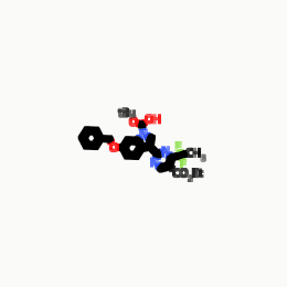 CCOC(=O)c1cnc(-c2cn(C(O)OC(C)(C)C)c3cc(OCc4ccccc4)ccc23)nc1C(C)(F)F